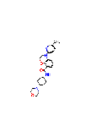 Cc1ccc(N2CCOc3c(C(=O)N[C@H]4CC[C@@H](N5CCOCC5)CC4)cccc32)nc1